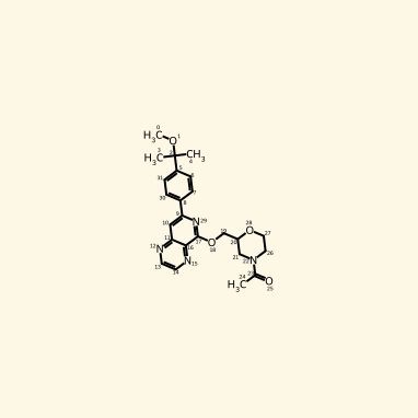 COC(C)(C)c1ccc(-c2cc3nccnc3c(OCC3CN(C(C)=O)CCO3)n2)cc1